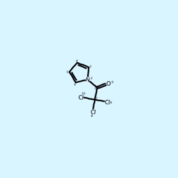 O=C(n1cccc1)C(Cl)(Cl)Cl